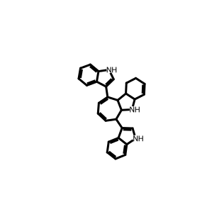 C1=CC(c2c[nH]c3ccccc23)C2NC3C=CCCC3C2C(c2c[nH]c3ccccc23)=C1